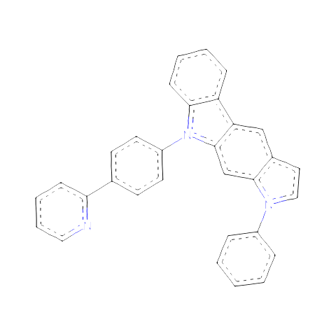 c1ccc(-n2ccc3cc4c5ccccc5n(-c5ccc(-c6ccccn6)cc5)c4cc32)cc1